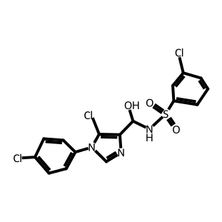 O=S(=O)(NC(O)c1ncn(-c2ccc(Cl)cc2)c1Cl)c1cccc(Cl)c1